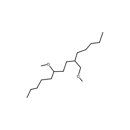 CCCCCC(CCC(CCCCC)OC)COC